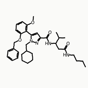 CCCCNC(=O)CC(NC(=O)c1cc(-c2c(OC)cccc2OCc2ccccc2)n(CC2CCCCC2)n1)C(C)C